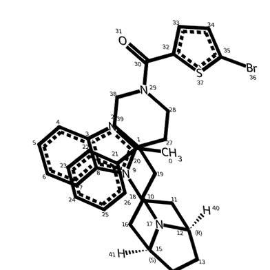 Cc1nc2ccccc2n1C1C[C@H]2CC[C@@H](C1)N2CCC1(c2ccccc2)CCN(C(=O)c2ccc(Br)s2)CC1